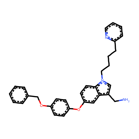 NCc1cn(CCCCc2ccccn2)c2ccc(Oc3ccc(OCc4ccccc4)cc3)cc12